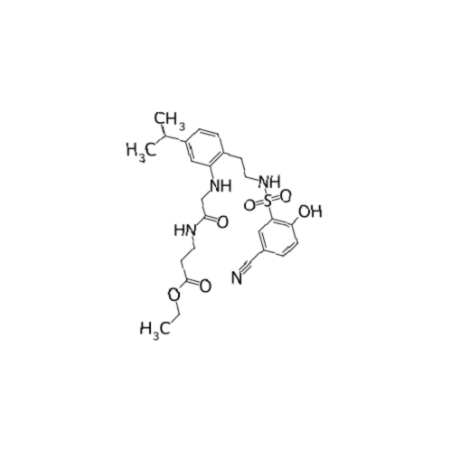 CCOC(=O)CCNC(=O)CNc1cc(C(C)C)ccc1CCNS(=O)(=O)c1cc(C#N)ccc1O